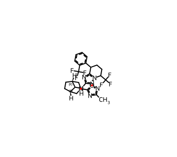 Cc1noc(N2C[C@H]3CC[C@@H](C2)C3Nc2nc3n(n2)C(C(F)(F)F)CCC3c2ccccc2C(F)(F)F)n1